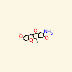 CCC/C(=C\c1cc(OC)ccc1OC)C(=O)c1ccc(OC)c(N)c1